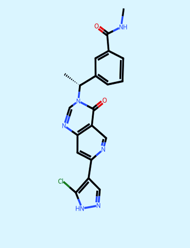 CNC(=O)c1cccc([C@@H](C)n2cnc3cc(-c4cn[nH]c4Cl)ncc3c2=O)c1